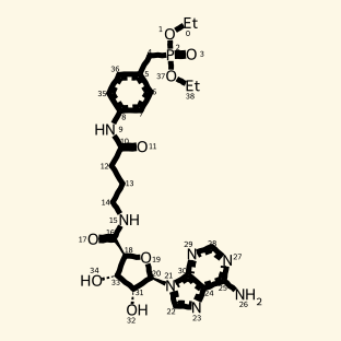 CCOP(=O)(Cc1ccc(NC(=O)CCCNC(=O)[C@H]2O[C@@H](n3cnc4c(N)ncnc43)[C@H](O)[C@@H]2O)cc1)OCC